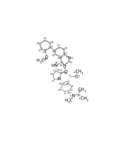 COC[C@@H]1C[C@H](N(C)C(C)C)CC[C@@H]1N1CC[C@H](Nc2ncnc3ccc(-c4ccccc4OC)cc23)C1=O